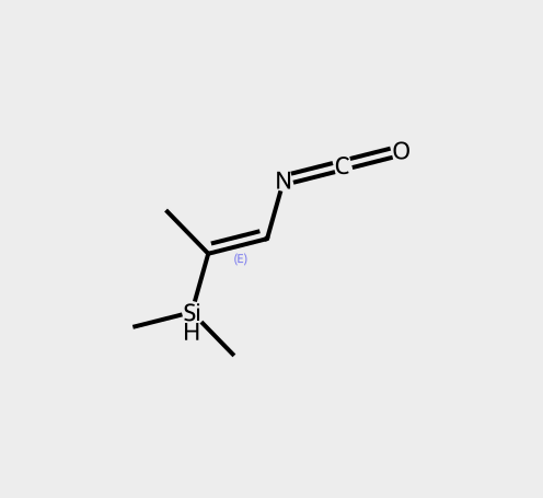 C/C(=C\N=C=O)[SiH](C)C